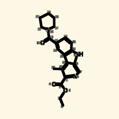 CCOC(=O)c1ncc2[nH]c3ccc(C(=O)N4CCCCC4)cc3c2c1C